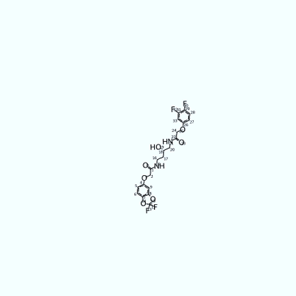 O=C(COc1ccc2c(c1)OC(F)(F)O2)NCC[C@H](O)CNC(=O)COc1ccc(F)c(F)c1